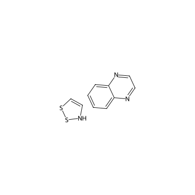 C1=CSSN1.c1ccc2nccnc2c1